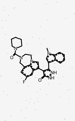 Cn1cc(-c2[nH][nH]c(=O)c2-c2cn3c4c(cc(F)cc24)CN(C(=O)N2CCCCC2)CC3)c2ccccc21